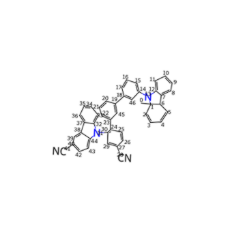 CC12C=CC=CC1c1ccccc1N2c1cccc(-c2cccc(-c3ccc(C#N)cc3-n3c4ccccc4c4cc(C#N)ccc43)c2)c1